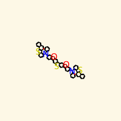 c1ccc(N(c2ccc3c(c2)oc2cc4c(cc23)sc2cc3c(cc24)oc2cc(N(c4ccccc4)c4cccc5sc6c7ccccc7ccc6c45)ccc23)c2cccc3sc4c5ccccc5ccc4c23)cc1